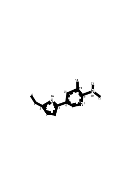 CCc1ccc(-c2cnc(N(C)C)c(C)c2)s1